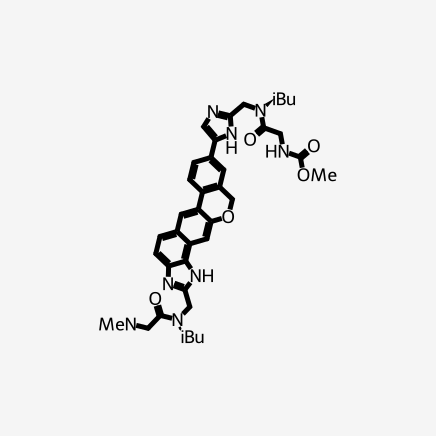 CC[C@H](C)N(Cc1ncc(-c2ccc3c(c2)COc2cc4c(ccc5nc(CN(C(=O)CNC)[C@@H](C)CC)[nH]c54)cc2-3)[nH]1)C(=O)CNC(=O)OC